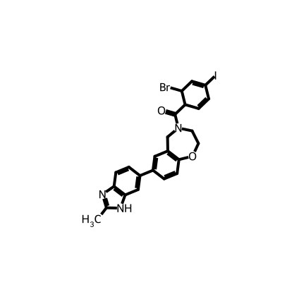 Cc1nc2ccc(-c3ccc4c(c3)CN(C(=O)C3C=CC(I)=CC3Br)CCO4)cc2[nH]1